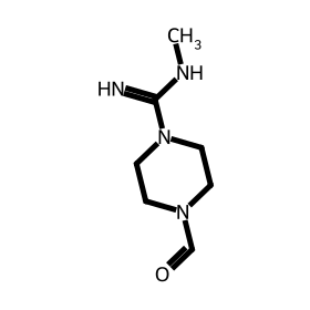 CNC(=N)N1CCN(C=O)CC1